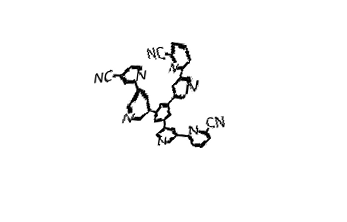 N#Cc1ccnc(-c2cncc(-c3cc(-c4cncc(-c5cccc(C#N)n5)c4)cc(-c4cncc(-c5cccc(C#N)n5)c4)c3)c2)c1